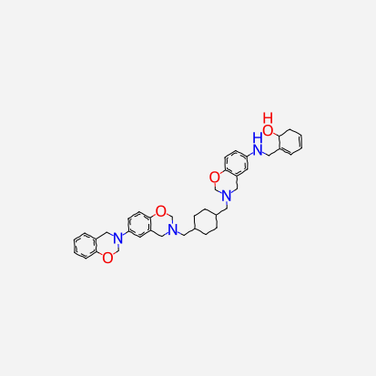 OC1CC=CC=C1CNc1ccc2c(c1)CN(CC1CCC(CN3COc4ccc(N5COc6ccccc6C5)cc4C3)CC1)CO2